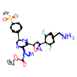 CC(C)S(=O)(=O)c1ccc(-c2cnc(NC(=O)OC(C)(C)C)c(-c3cc(-c4c(F)cc(CN)cc4F)no3)n2)cc1